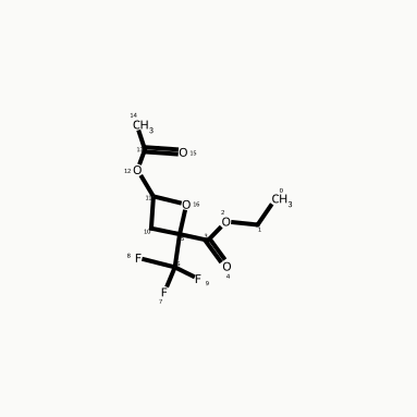 CCOC(=O)C1(C(F)(F)F)CC(OC(C)=O)O1